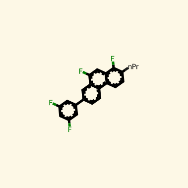 CCCc1ccc2c(cc(F)c3cc(-c4cc(F)cc(F)c4)ccc32)c1F